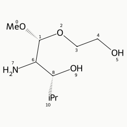 CO[C@H](OCCO)C(N)[C@H](O)C(C)C